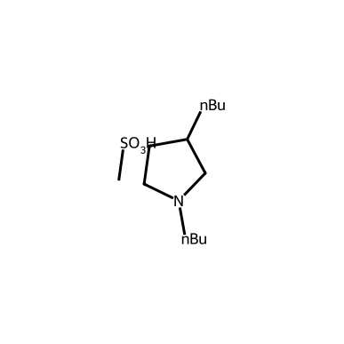 CCCCC1CCN(CCCC)C1.CS(=O)(=O)O